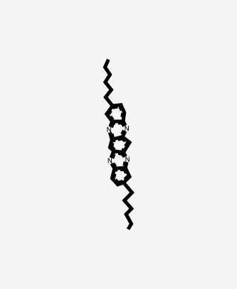 CCCCCCc1ccc2nc3cc4nc5cc(CCCCCC)ccc5nc4cc3nc2c1